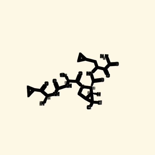 CC(C)[C@H](NC(=O)N[C@H](C(=O)N1CC2[C@@H]([C@H]1C(=O)NC(CC1CC1)C(=O)C(N)=O)C2(Cl)Cl)C(C)(C)C)C(=O)C1CC1